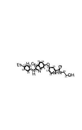 CCc1ccc(Nc2nc3cc(Oc4ccnc(C(=O)NCCO)c4)ccc3n2C)cc1